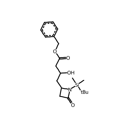 CC(C)(C)[Si](C)(C)N1C(=O)CC1CC(O)CC(=O)OCc1ccccc1